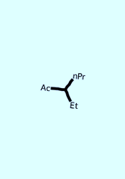 [CH2]C(=O)C(CC)CCC